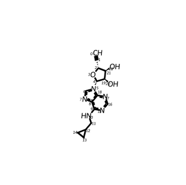 C#C[C@H]1O[C@@H](n2cnc3c(NCC4CC4)ncnc32)[C@H](O)[C@@H]1O